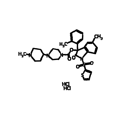 Cc1ccc2c(c1)C(OC(=O)N1CCN(C3CCN(C)CC3)CC1)(c1ccccc1C)C(=O)N2S(=O)(=O)c1cccs1.Cl.Cl